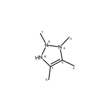 CC1=C(C)N(C)N(C)N1